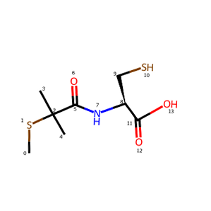 CSC(C)(C)C(=O)N[C@@H](CS)C(=O)O